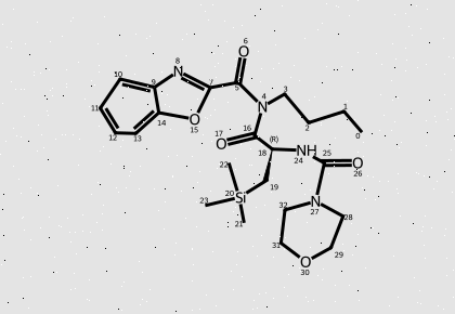 CCCCN(C(=O)c1nc2ccccc2o1)C(=O)[C@H](C[Si](C)(C)C)NC(=O)N1CCOCC1